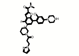 CN(C)C(=O)c1cc2c(F)c([C@@H]3CCCN(C(=O)CCn4cccn4)C3)cc(-c3ccc(N4CCNCC4)cc3Cl)c2o1